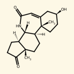 C[C@]12CC[C@H](O)CC1=CC(=O)N[C@@H]1[C@@H]2CC[C@]2(C)C(=O)CC[C@@H]12